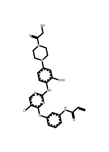 C=CC(=O)Nc1cccc(Oc2nc(Nc3ccc(N4CCN(C(=O)CO)CC4)cc3C=O)ncc2Cl)c1